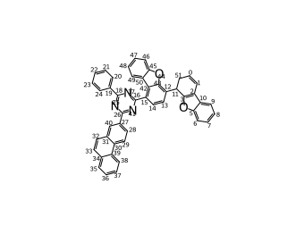 C1=Cc2c(oc3ccccc23)C(c2ccc(-c3nc(-c4ccccc4)nc(-c4ccc5c(ccc6ccccc65)c4)n3)c3c2oc2ccccc23)C1